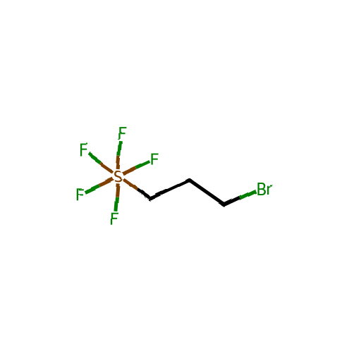 FS(F)(F)(F)(F)CCCBr